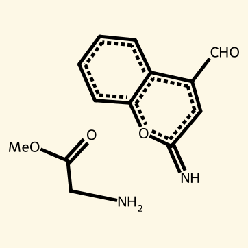 COC(=O)CN.N=c1cc(C=O)c2ccccc2o1